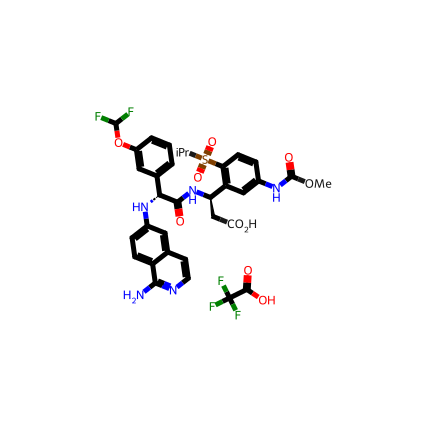 COC(=O)Nc1ccc(S(=O)(=O)C(C)C)c([C@@H](CC(=O)O)NC(=O)[C@H](Nc2ccc3c(N)nccc3c2)c2cccc(OC(F)F)c2)c1.O=C(O)C(F)(F)F